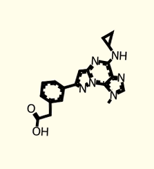 Cn1cnc2c(NC3CC3)nc3cc(-c4cccc(CC(=O)O)c4)nn3c21